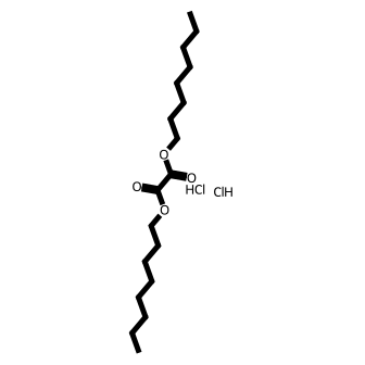 CCCCCCCCOC(=O)C(=O)OCCCCCCCC.Cl.Cl